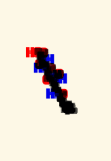 Cc1ccc(CCCC(=O)NCCCC[C@H](NC=O)C(=O)NCC(=O)NCC(=O)NCC(=O)O)cc1